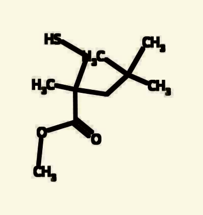 COC(=O)C(C)(CS)CC(C)(C)C